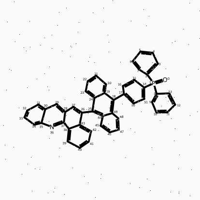 O=P(c1ccccc1)(c1ccccc1)c1ccc(-c2c3ccccc3c(-c3cc4cc5ccccc5nc4c4ccccc34)c3ccccc23)cc1